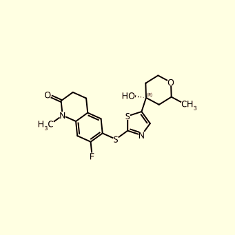 CC1C[C@@](O)(c2cnc(Sc3cc4c(cc3F)N(C)C(=O)CC4)s2)CCO1